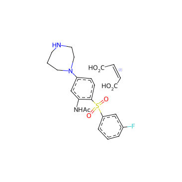 CC(=O)Nc1cc(N2CCCNCC2)ccc1S(=O)(=O)c1cccc(F)c1.O=C(O)/C=C\C(=O)O